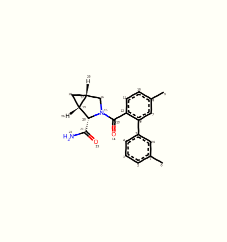 Cc1cccc(-c2cc(C)ccc2C(=O)N2C[C@H]3C[C@H]3[C@H]2C(N)=O)c1